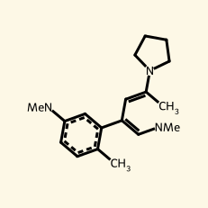 CN/C=C(\C=C(/C)N1CCCC1)c1cc(NC)ccc1C